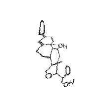 CC12C=CC(=O)C=C1CCC1C2C(O)CC2(C)C(C(=O)CO)OCC12